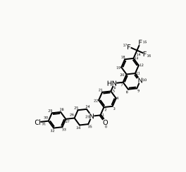 O=C(c1ccc(Nc2ccnc3cc(C(F)(F)F)ccc23)cc1)N1CCC(c2ccc(Cl)cc2)CC1